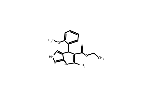 CCOC(=O)C1=C(C)Nc2n[nH]cc2C1c1ccccc1OC